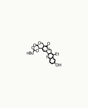 CCCCC(=O)OC1C(=O)OCc2c1cc1n(c2=O)Cc2c-1nc1ccc(O)cc1c2CC